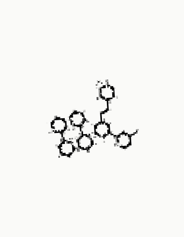 Cc1ccnc(-c2cc(C=Cc3ccncc3)ccn2)c1.[Ru].c1ccc(-c2ccccn2)nc1.c1ccc(-c2ccccn2)nc1